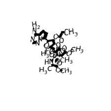 CCC(=O)O[C@H]1[C@H](c2ccc3c(N)ncnn23)O[C@](F)(COP(=O)(N[C@@H](C)C(=O)OC)N[C@@H](C)C(=O)OC)[C@H]1OC(=O)CC